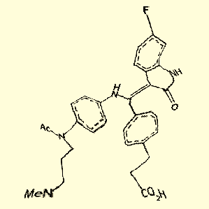 CNCCCN(C(C)=O)c1ccc(NC(=C2C(=O)Nc3cc(F)ccc32)c2ccc(CCC(=O)O)cc2)cc1